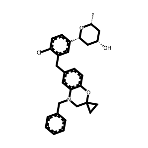 C[C@@H]1C[C@H](O)C[C@H](c2ccc(Cl)c(Cc3ccc4c(c3)N(Cc3ccccc3)CC3(CC3)O4)c2)O1